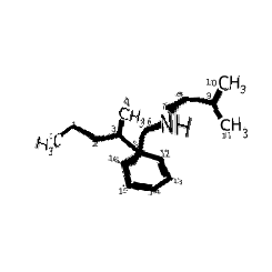 CCCC(C)C1(CNCC(C)C)C=CC=[C]C1